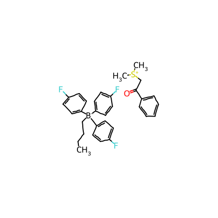 CCCC[B-](c1ccc(F)cc1)(c1ccc(F)cc1)c1ccc(F)cc1.C[S+](C)CC(=O)c1ccccc1